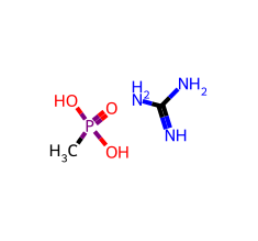 CP(=O)(O)O.N=C(N)N